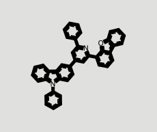 c1ccc(-c2cc(-c3ccc4c(c3)c3ccccc3n4-c3ccccc3)cc(-c3cccc4c3oc3ccccc34)n2)cc1